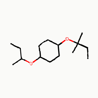 CCC(C)OC1CCC(OC(C)(C)CC)CC1